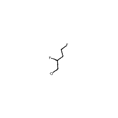 [O]CC(F)CCF